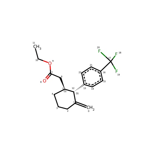 C=C1CCC[C@@H](CC(=O)OCC)[C@@H]1c1ccc(C(F)(F)F)cc1